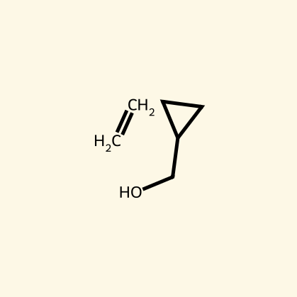 C=C.OCC1CC1